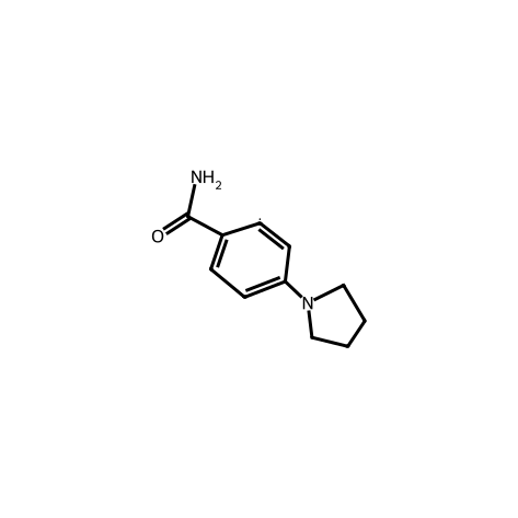 NC(=O)c1[c]cc(N2CCCC2)cc1